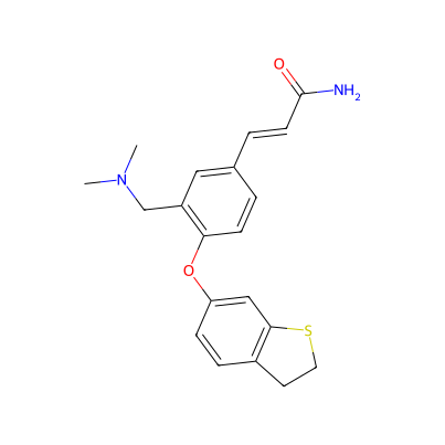 CN(C)Cc1cc(C=CC(N)=O)ccc1Oc1ccc2c(c1)SCC2